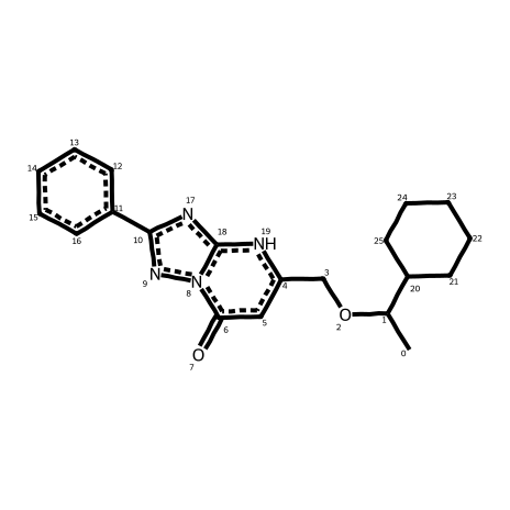 CC(OCc1cc(=O)n2nc(-c3ccccc3)nc2[nH]1)C1CCCCC1